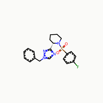 O=S(=O)(c1ccc(F)cc1)N1CCCC[C@H]1c1ncn(Cc2ccccc2)n1